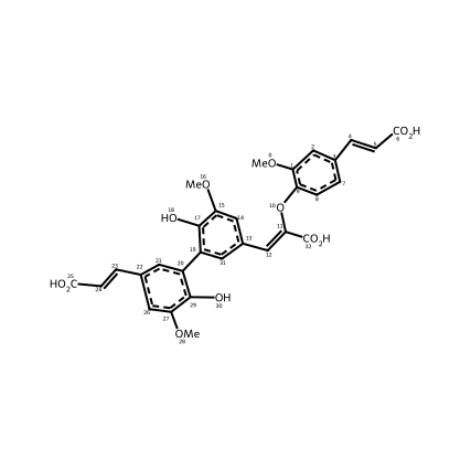 COc1cc(/C=C/C(=O)O)ccc1O/C(=C\c1cc(OC)c(O)c(-c2cc(/C=C/C(=O)O)cc(OC)c2O)c1)C(=O)O